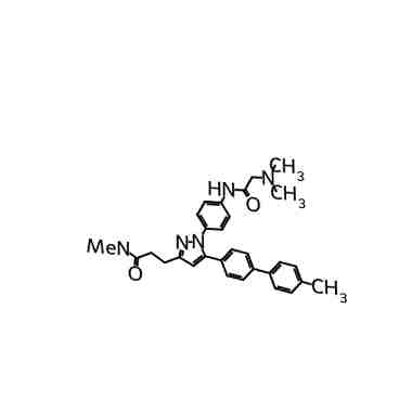 CNC(=O)CCc1cc(-c2ccc(-c3ccc(C)cc3)cc2)n(-c2ccc(NC(=O)CN(C)C)cc2)n1